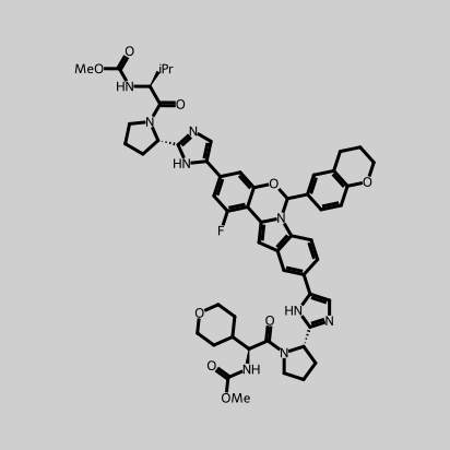 COC(=O)N[C@H](C(=O)N1CCC[C@H]1c1ncc(-c2cc(F)c3c(c2)OC(c2ccc4c(c2)CCCO4)n2c-3cc3cc(-c4cnc([C@@H]5CCCN5C(=O)[C@@H](NC(=O)OC)C5CCOCC5)[nH]4)ccc32)[nH]1)C(C)C